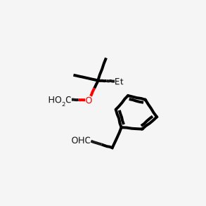 CCC(C)(C)OC(=O)O.O=CCc1ccccc1